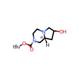 CC(C)(C)OC(=O)N1CCN2CC(O)C[C@@H]2C1